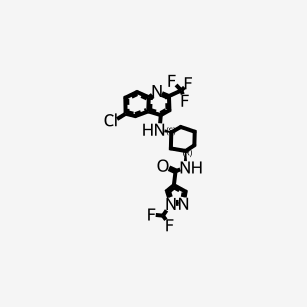 O=C(N[C@@H]1CCC[C@H](Nc2cc(C(F)(F)F)nc3ccc(Cl)cc23)C1)c1cnn(C(F)F)c1